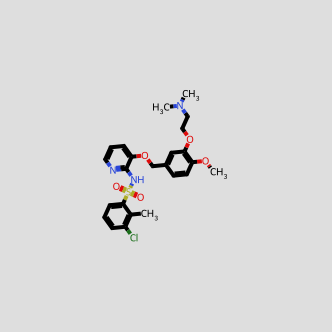 COc1ccc(COc2cccnc2NS(=O)(=O)c2cccc(Cl)c2C)cc1OCCN(C)C